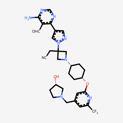 N#CCC1(n2cc(-c3ncnc(N)c3C=O)cn2)CN([C@H]2CC[C@@H](Oc3cc(CN4CC[C@H](O)C4)cc(C(F)(F)F)n3)CC2)C1